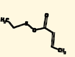 CC=CC(=O)OSCC